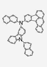 c1ccc2cc(N(c3ccc4c(c3)-c3c5ccccc5cc5cccc-4c35)c3ccc4c(c3)c3ccccc3n4-c3ccc4ccccc4c3)ccc2c1